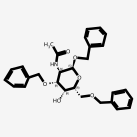 CC(=O)N[C@@H]1[C@@H](OCc2ccccc2)O[C@H](COCc2ccccc2)[C@H](O)[C@@H]1OCc1ccccc1